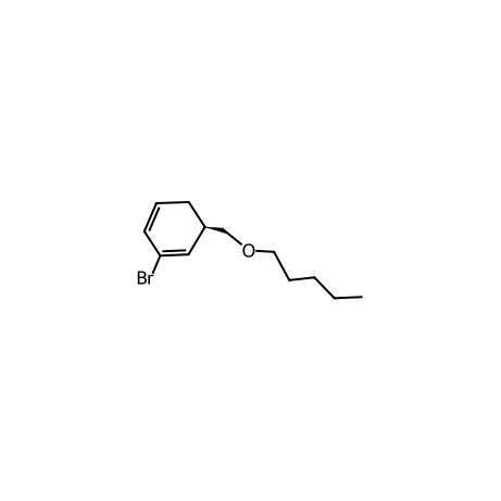 CCCCCOC[C@H]1C=C(Br)C=CC1